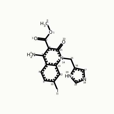 COC(=O)c1c(N)c2ccc(I)cc2n(Cc2cnc[nH]2)c1=O